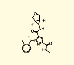 CNC(=O)c1cc(C(=O)NC2[C@H]3COC[C@@H]23)n([C@@H](C)c2ccccc2C)n1